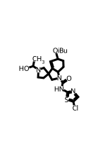 CC(C)COC1C=C2C(CC1)N(C(=O)Nc1ncc(Cl)s1)CC21CCN(C(C)O)C1